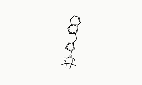 CC1(C)OB(c2ccc(Cc3ccc4c(c3)C=CCC4)s2)OC1(C)C